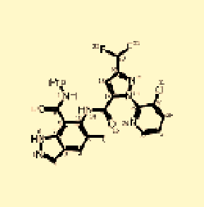 Cc1cc2cn[nH]c2c(C(=O)NC(C)C)c1NC(=O)c1cc(C(F)F)nn1-c1ncccc1Cl